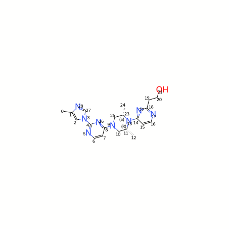 Cc1cn(-c2nccc(N3C[C@@H](C)N(c4ccnc(CCO)n4)[C@@H](C)C3)n2)cn1